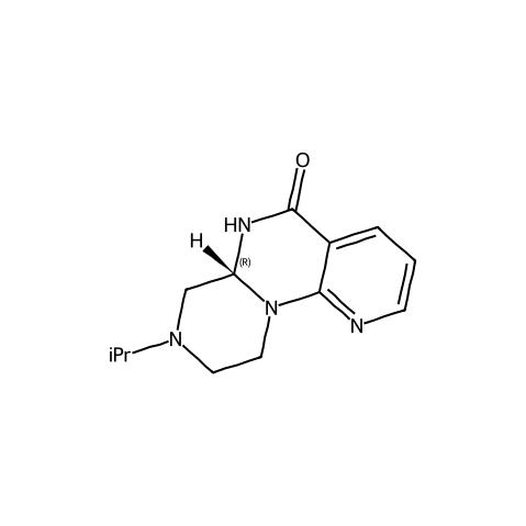 CC(C)N1CCN2c3ncccc3C(=O)N[C@H]2C1